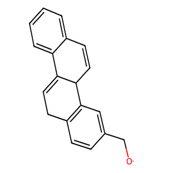 [O]Cc1ccc2c(c1)C1C=Cc3ccccc3C1=CC2